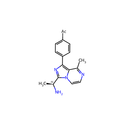 CC(=O)c1ccc(-c2nc([C@H](C)N)n3ccnc(C)c23)cc1